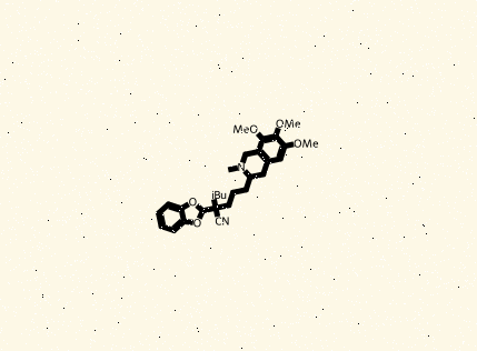 CCC(C)C(C#N)(CCCC1Cc2cc(OC)c(OC)c(OC)c2CN1C)C1Oc2ccccc2O1